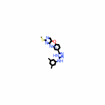 CSc1ncc(Oc2ccc(-c3nnc(Nc4cc(C)cc(C)c4)[nH]3)cc2)c(N)n1